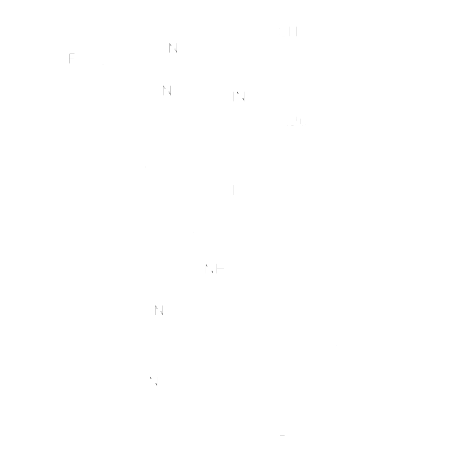 C=C(Cn1cc(F)c(Cc2ccc(Nc3ncnc4cc(CC)c(/C=C/CCl)cc34)c(F)c2)n1)NC(C)(C)C